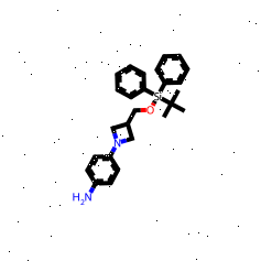 CC(C)(C)[Si](OCC1CN(c2ccc(N)cc2)C1)(c1ccccc1)c1ccccc1